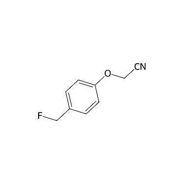 N#CCOc1ccc(CF)cc1